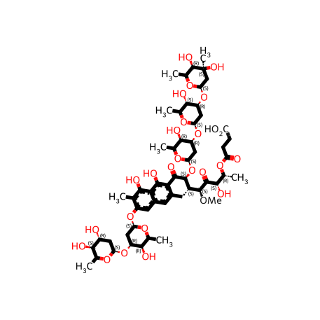 CO[C@H](C(=O)[C@@H](O)[C@@H](C)OC(=O)CCC(=O)O)[C@@H]1Cc2cc3cc(O[C@H]4C[C@@H](O[C@H]5C[C@@H](O)[C@H](O)C(C)O5)[C@H](O)C(C)O4)c(C)c(O)c3c(O)c2C(=O)[C@H]1O[C@H]1C[C@@H](O[C@H]2C[C@@H](O[C@H]3C[C@](C)(O)[C@H](O)C(C)O3)[C@@H](O)C(C)O2)[C@H](O)C(C)O1